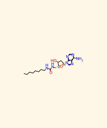 CCCCCCCCNC(=O)NC[C@H]1O[C@@H](n2cnc3c(N)ncnc32)CC1O